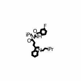 CC(C)CCn1cc(C=CC(=O)N(NC(=O)c2cccc(F)c2)C(C)C)c2ccccc21